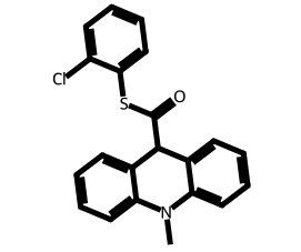 CN1c2ccccc2C(C(=O)Sc2ccccc2Cl)c2ccccc21